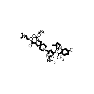 Cc1ccn(-c2cc(Cl)ccc2[C@@H](Oc2cc(N3CCC4(CC3)CC(C(=O)OCCN(C)C)N(C(=O)OC(C)(C)C)C4)nc(N)n2)C(F)(F)F)n1